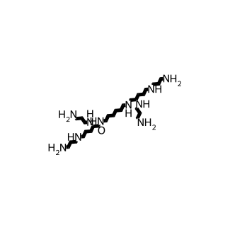 NCCCNCCCC(CNCCCCCCNC(=O)C(CCCNCCCN)NCCCN)NCCCN